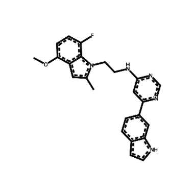 COc1ccc(F)c2c1cc(C)n2CCNc1cc(-c2ccc3cc[nH]c3c2)ncn1